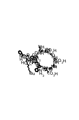 CCC(C)CCCCCCCCC(=O)NC(Cc1c[nH]c2ccccc12)C(=O)NC(CC(N)=O)C(=O)NC(CC(=O)O)C(=O)NC1C(=O)NCC(=O)NC(CCCN)C(=O)NC(CC(=O)O)C(=O)NC(C)C(=O)NC(CC(=O)O)C(=O)NCC(=O)NC(C)C(=O)NC(C(C)CC(=O)O)C(=O)NC(CC(=O)c2ccccc2N)C(=O)OC1C